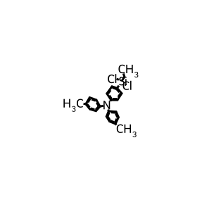 CC[Si](Cl)(Cl)c1ccc(N(c2ccc(C)cc2)c2ccc(C)cc2)cc1